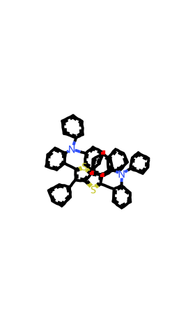 c1ccc(-c2c(-c3ccccc3N(c3ccccc3)c3ccccc3)sc3c(-c4ccccc4)c(-c4ccccc4N(c4ccccc4)c4ccccc4)sc23)cc1